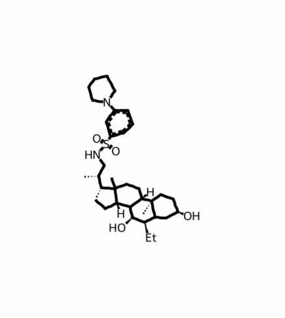 CC[C@@H]1C2C[C@H](O)CC[C@]2(C)[C@H]2CCC3(C)[C@@H]([C@H](C)CNS(=O)(=O)c4cccc(N5CCCCC5)c4)CC[C@H]3C2[C@@H]1O